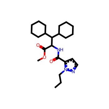 CCCn1nccc1C(=O)NC(C(=O)OC)C(C1CCCCC1)C1CCCCC1